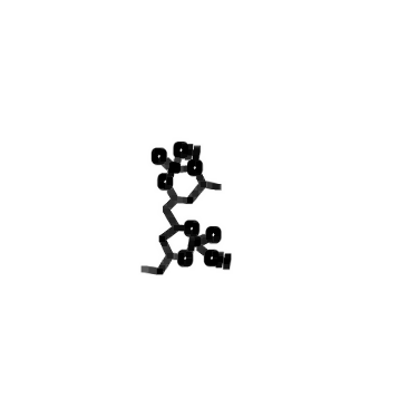 CCC1CC(CC2CC(C)OP(=O)(O)O2)OP(=O)(O)O1